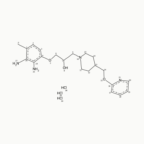 Cc1ccc(OCC(O)CN2CCC(COc3ccccn3)CC2)c(N)c1N.Cl.Cl.Cl